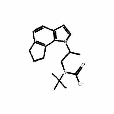 CC(CN(C(=O)O)C(C)(C)C)n1ccc2ccc3c(c21)CCC3